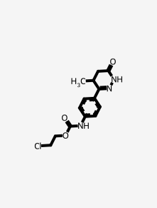 CC1CC(=O)NN=C1c1ccc(NC(=O)OCCCl)cc1